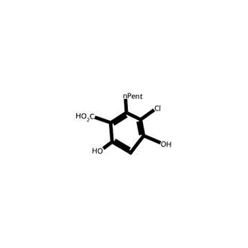 CCCCCc1c(Cl)c(O)cc(O)c1C(=O)O